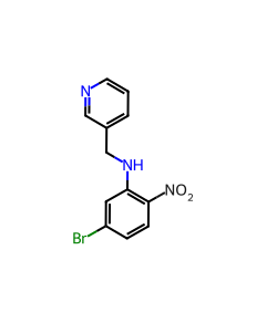 O=[N+]([O-])c1ccc(Br)cc1NCc1cccnc1